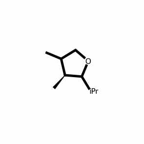 CC(C)C1OCC(C)[C@@H]1C